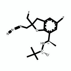 C[C@@H](N[S@+]([O-])C(C)(C)C)c1cc(F)cc2c1OC(CF)(CN=[N+]=[N-])C2